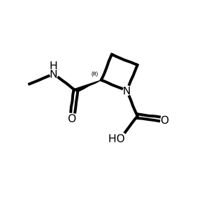 CNC(=O)[C@H]1CCN1C(=O)O